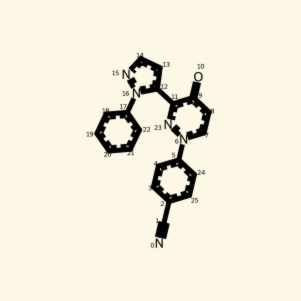 N#Cc1ccc(-n2ccc(=O)c(-c3ccnn3-c3ccccc3)n2)cc1